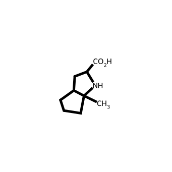 CC12CCCC1CC(C(=O)O)N2